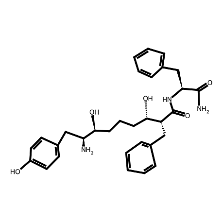 NC(=O)[C@H](Cc1ccccc1)NC(=O)[C@H](Cc1ccccc1)[C@@H](O)CCC[C@H](O)[C@@H](N)Cc1ccc(O)cc1